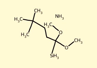 COC([SiH3])(CCC(C)(C)C)OC.N